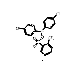 O=S(=O)(O[I+](c1ccc(Cl)cc1)c1ccc(Cl)cc1)c1ccccc1C(F)(F)F